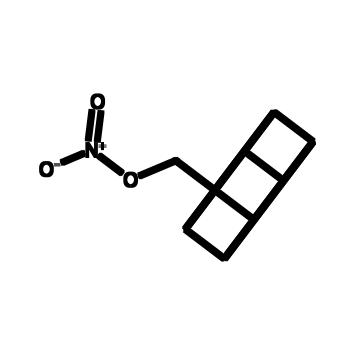 O=[N+]([O-])OCC12C3C4C5C3C1C5C42